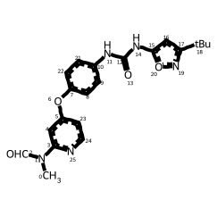 CN(C=O)c1cc(Oc2ccc(NC(=O)Nc3cc(C(C)(C)C)no3)cc2)ccn1